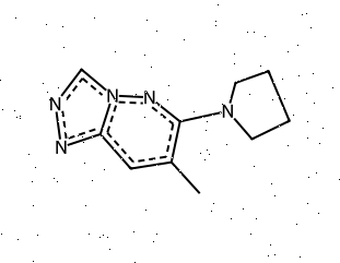 Cc1cc2nncn2nc1N1CCCC1